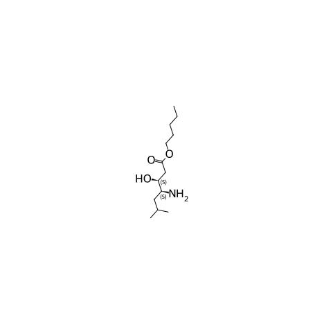 CCCCCOC(=O)C[C@H](O)[C@@H](N)CC(C)C